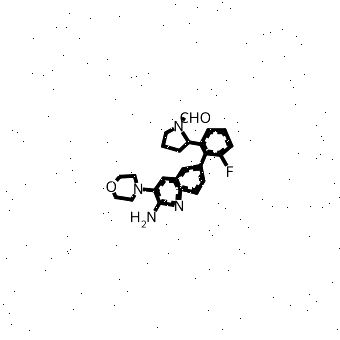 Nc1nc2ccc(-c3c(F)cccc3C3CCCN3C=O)cc2cc1N1CCOCC1